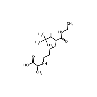 CCNC(=O)[C@H](CCCCNC(C)C(=O)O)NC(C)(C)C